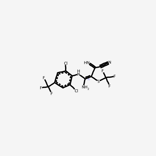 N#CC(=N)/C(SC(F)(F)F)=C(/N)Nc1c(Cl)cc(C(F)(F)F)cc1Cl